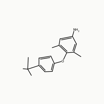 Cc1cc(N)cc(C)c1Oc1ccc(C(C)(C)C)cc1